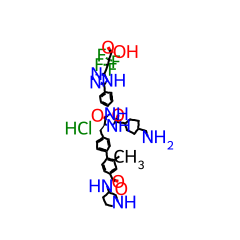 Cc1cc(C(=O)NC2CCCNC2=O)ccc1-c1ccc(C[C@H](NC(=O)C2CCC(CN)CC2)C(=O)Nc2ccc(-c3nnc(C(F)(F)C(F)(F)C(=O)O)[nH]3)cc2)cc1.Cl